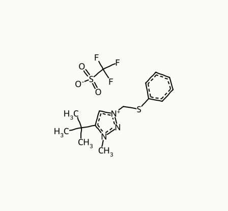 Cn1n[n+](CSc2ccccc2)cc1C(C)(C)C.O=S(=O)([O-])C(F)(F)F